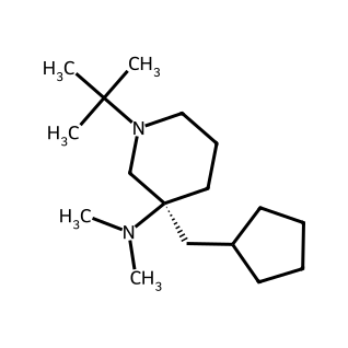 CN(C)[C@]1(CC2CCCC2)CCCN(C(C)(C)C)C1